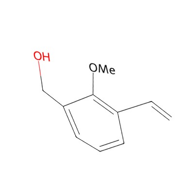 C=Cc1cccc(CO)c1OC